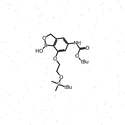 CC(C)(C)OC(=O)Nc1cc2c(c(OCCO[Si](C)(C)C(C)(C)C)c1)B(O)OC2